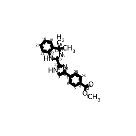 COC(=O)c1ccc(-c2c[nH]c(C3=NC(C)(C)c4ccccc4N3)n2)cc1